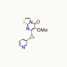 COc1c(C2CC2c2cccnc2)nc2sccn2c1=O